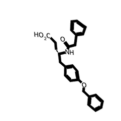 O=C(O)CC[C@@H](Cc1ccc(OCc2ccccc2)cc1)NC(=O)Cc1ccccc1